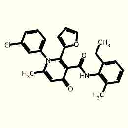 CCc1cccc(C)c1NC(=O)c1c(-c2ccco2)n(-c2cccc(Cl)c2)c(C)cc1=O